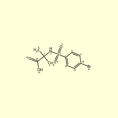 CC(C)(NS(=O)(=O)c1ccc(Br)cc1)C(=O)O